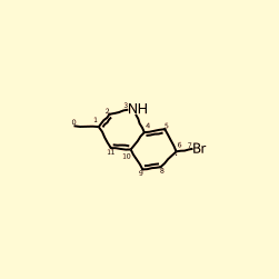 CC1=CNC2=C[C](Br)C=CC2=C1